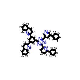 c1ccc(-c2cncc(-c3nc(-c4cc(-c5ccc6ccccc6n5)cc(-c5ccc6ccccc6n5)c4)nc(-c4cccc(-c5ccccc5)n4)n3)c2)cc1